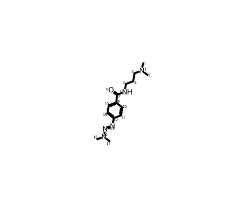 CN(C)CCCNC(=O)c1ccc(N=NN(C)C)cc1